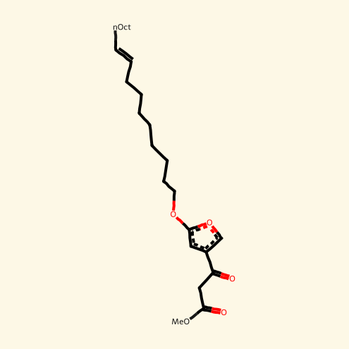 CCCCCCCCC=CCCCCCCCCOc1cc(C(=O)CC(=O)OC)co1